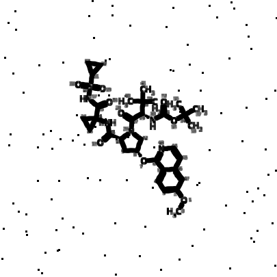 COc1ccc2c(O[C@@H]3C[C@@H](C(=O)NC4(C(=O)NS(=O)(=O)C5CC5)CC4)N(C(=O)[C@@H](NC(=O)OC(C)(C)C)C(C)(C)C)C3)nccc2c1